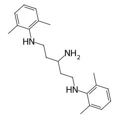 Cc1cccc(C)c1NCCC(N)CCNc1c(C)cccc1C